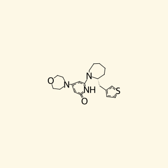 O=c1cc(N2CCOCC2)cc(N2CCCCC[C@@H]2Cc2ccsc2)[nH]1